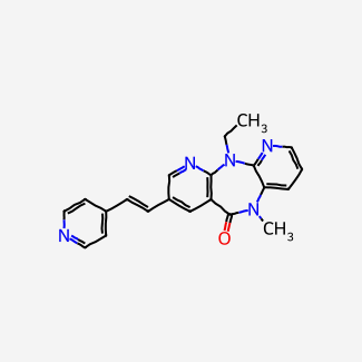 CCN1c2ncc(C=Cc3ccncc3)cc2C(=O)N(C)c2cccnc21